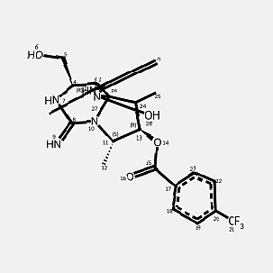 C=C1NC2[C@H](CO)NC(=N)N3[C@@H](C)[C@H](OC(=O)c4ccc(C(F)(F)F)cc4)C(C)C23N1O